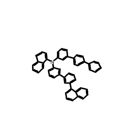 c1ccc(-c2ccc(-c3cccc(N(c4cccc(-c5cccc(-c6cccc7ccccc67)c5)c4)c4cccc5ccccc45)c3)cc2)cc1